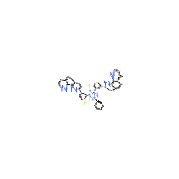 Fc1ccc(-c2ccc3ccc4cccnc4c3n2)cc1-c1nc(-c2ccccc2)nc(-c2cc(-c3ccc4ccc5cccnc5c4n3)ccc2F)n1